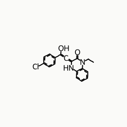 CCN1C(=O)C(=C=C(O)c2ccc(Cl)cc2)Nc2ccccc21